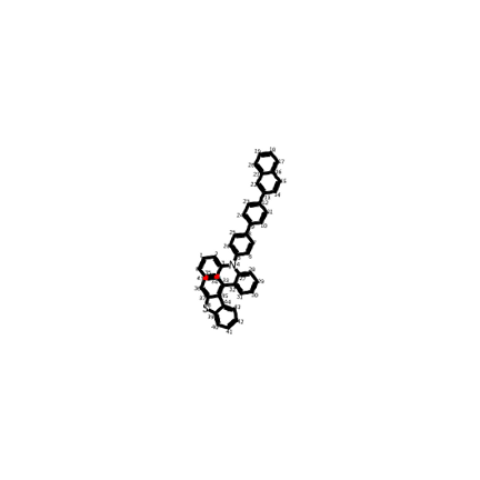 c1ccc(N(c2ccc(-c3ccc(-c4ccc5ccccc5c4)cc3)cc2)c2ccccc2-c2cccc3sc4ccccc4c23)cc1